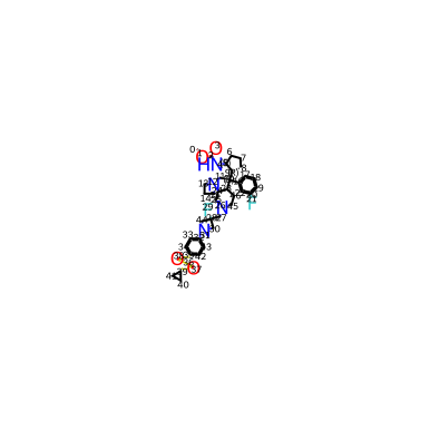 COC(=O)N[C@H]1CCC[C@@H]1[C@](CN1CCC1)(c1cccc(F)c1)C1CCN(CC2(F)CN(c3ccc(S(=O)(=O)C4CC4)cc3)C2)CC1